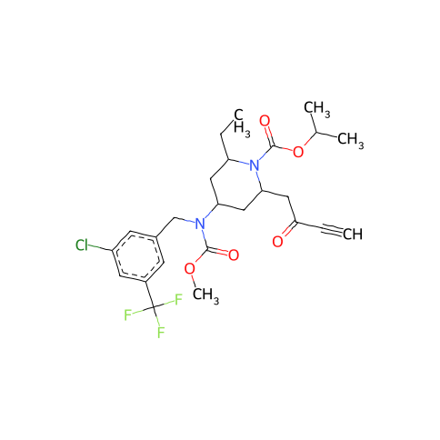 C#CC(=O)CC1CC(N(Cc2cc(Cl)cc(C(F)(F)F)c2)C(=O)OC)CC(CC)N1C(=O)OC(C)C